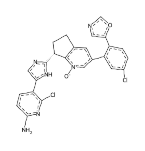 Nc1ccc(-c2cnc([C@@H]3CCc4cc(-c5cc(Cl)ccc5-c5cnco5)c[n+]([O-])c43)[nH]2)c(Cl)n1